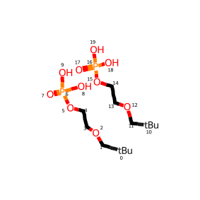 CC(C)(C)COCCOP(=O)(O)O.CC(C)(C)COCCOP(=O)(O)O